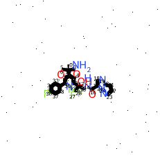 C[C@]1(C(N)=O)COc2c1cc(C(O)(CNC(=O)c1cnc3cccnn13)C(F)(F)F)nc2-c1ccc(F)cc1